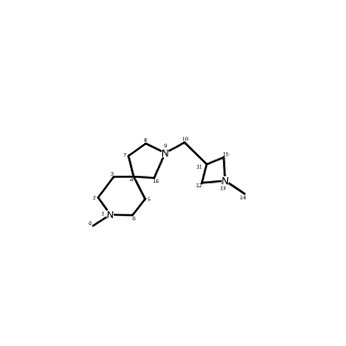 CN1CCC2(CC1)CCN(CC1CN(C)C1)C2